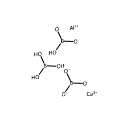 OB(O)O.[Al+3].[Ca+2].[O-]B([O-])O.[O-]B([O-])[O-]